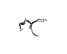 CCOC(=O)c1ncoc1C(C)C